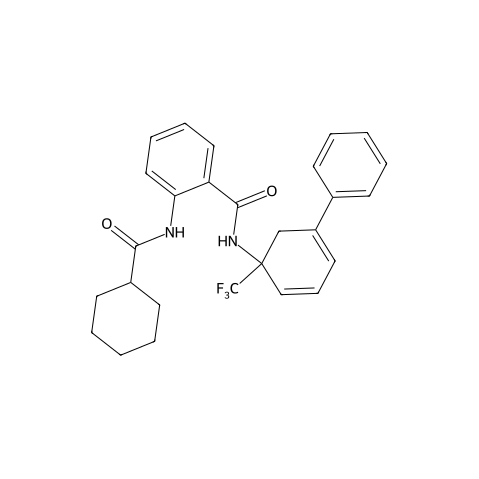 O=C(NC1(C(F)(F)F)C=CC=C(c2ccccc2)C1)c1ccccc1NC(=O)C1CCCCC1